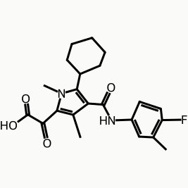 Cc1cc(NC(=O)c2c(C)c(C(=O)C(=O)O)n(C)c2C2CCCCC2)ccc1F